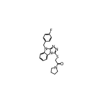 O=C(CSc1nnc2n(Cc3ccc(F)cc3)c3ccccc3n12)N1CCCC1